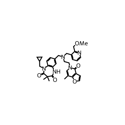 COCc1ncccc1CN(CCn1cc(C)c2occc2c1=O)Cc1ccc2c(c1)NC(=O)C(C)(C)C(=O)N2CC1CC1